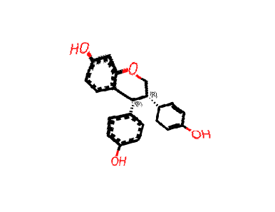 OC1=CCC([C@H]2COc3cc(O)ccc3[C@H]2c2ccc(O)cc2)C=C1